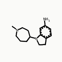 CN1CCCC(N2CCc3ccc(N)cc32)CC1